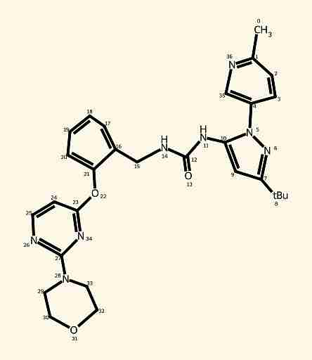 Cc1ccc(-n2nc(C(C)(C)C)cc2NC(=O)NCc2ccccc2Oc2ccnc(N3CCOCC3)n2)cn1